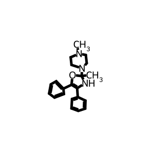 CN1CCN(C2(C)NC(c3ccccc3)=C(c3ccccc3)O2)CC1